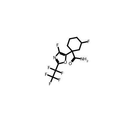 NC(=O)C1(c2oc(C(F)(F)C(F)(F)F)nc2F)CCCC(F)C1